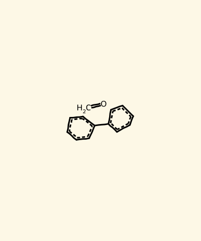 C=O.c1ccc(-c2ccccc2)cc1